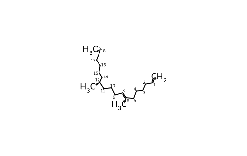 C=CCCCCC(C)=CCCCC(C)CCCCCC